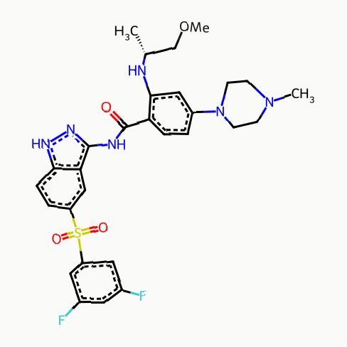 COC[C@@H](C)Nc1cc(N2CCN(C)CC2)ccc1C(=O)Nc1n[nH]c2ccc(S(=O)(=O)c3cc(F)cc(F)c3)cc12